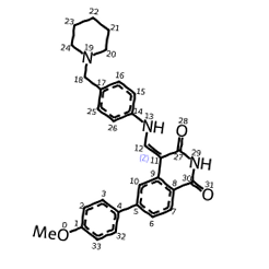 COc1ccc(-c2ccc3c(c2)/C(=C/Nc2ccc(CN4CCCCC4)cc2)C(=O)NC3=O)cc1